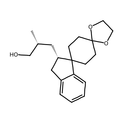 C[C@@H](CO)C[C@H]1Cc2ccccc2C12CCC1(CC2)OCCO1